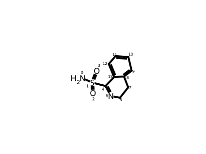 NS(=O)(=O)C1=NCCc2ccccc21